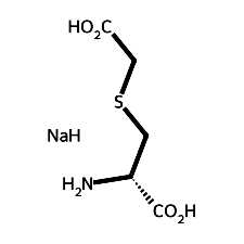 N[C@H](CSCC(=O)O)C(=O)O.[NaH]